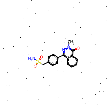 Cn1nc(-c2ccc(CS(N)(=O)=O)cc2)c2ccccc2c1=O